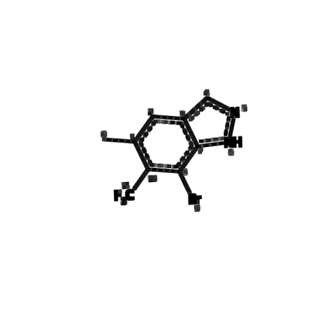 Cc1cc2cn[nH]c2c(Br)c1C(F)(F)F